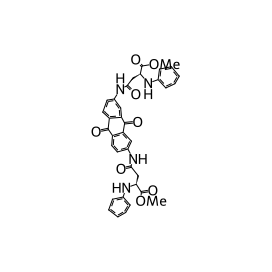 COC(=O)[C@H](CC(=O)Nc1ccc2c(c1)C(=O)c1cc(NC(=O)C[C@H](Nc3ccccc3)C(=O)OC)ccc1C2=O)Nc1ccccc1